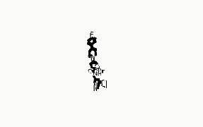 CC(C)[C@]1(C(=O)NCc2cncc(Cl)c2)CC[C@@H](N2CCC(c3ccc(F)cc3)CC2)CO1